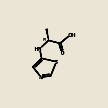 C[C@H](Nc1cncs1)C(=O)O